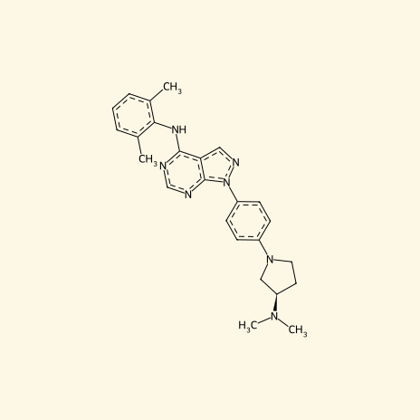 Cc1cccc(C)c1Nc1ncnc2c1cnn2-c1ccc(N2CC[C@@H](N(C)C)C2)cc1